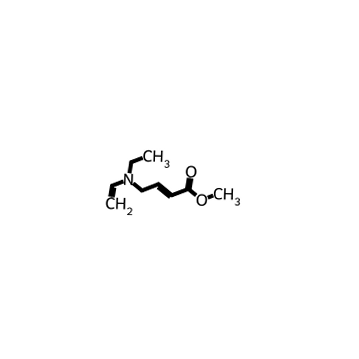 C=CN(CC)CC=CC(=O)OC